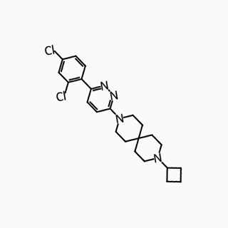 Clc1ccc(-c2ccc(N3CCC4(CC3)CCN(C3CCC3)CC4)nn2)c(Cl)c1